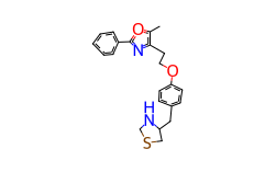 Cc1oc(-c2ccccc2)nc1CCOc1ccc(CC2CSCN2)cc1